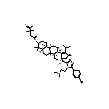 CC(C)C1=C2[C@H]3CC[C@@H]4[C@@]5(C)CC[C@H](OC(=O)CC(C)(C)C(=O)O)C(C)(C)[C@@H]5CC[C@@]4(C)[C@]3(C)CC[C@@]2([C@@H](O)c2nnc(-c3ccc(C#N)cc3)n2CCN(C)C)CC1=O